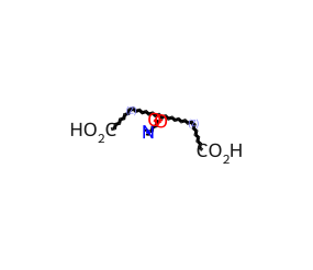 CN(C)CCCC(=O)OC(CCCCCCCC/C=C\CCCCCCCC(=O)O)CCCCCCCC/C=C\CCCCCCCC(=O)O